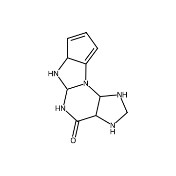 O=C1NC2NC3C=CC=C3N2C2NCNC12